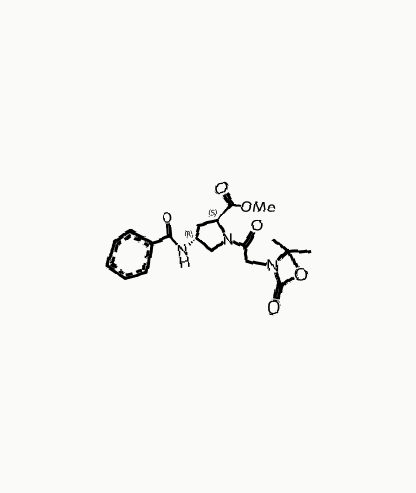 COC(=O)[C@@H]1C[C@@H](NC(=O)c2ccccc2)CN1C(=O)CN1C(=O)OC1(C)C